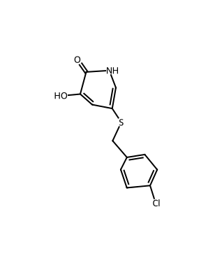 O=c1[nH]cc(SCc2ccc(Cl)cc2)cc1O